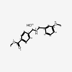 COC(=O)c1ccc(CNCc2cccc(OC)c2)cc1.Cl